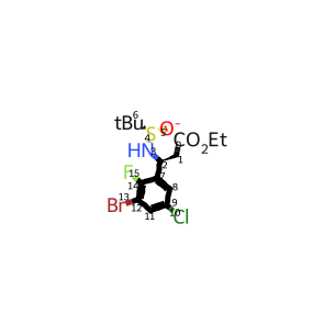 CCOC(=O)C[C@H](N[S@+]([O-])C(C)(C)C)c1cc(Cl)cc(Br)c1F